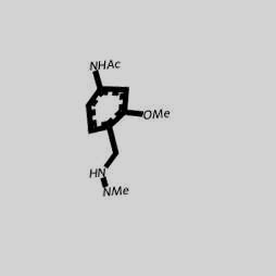 CNNCc1ccc(NC(C)=O)cc1OC